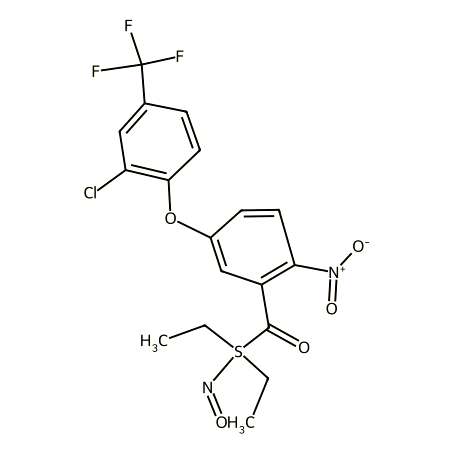 CCS(CC)(N=O)C(=O)c1cc(Oc2ccc(C(F)(F)F)cc2Cl)ccc1[N+](=O)[O-]